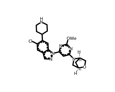 COc1nc(N2C[C@H]3C[C@@H]2CO3)cc(-n2ncc3cc(Cl)c(C4CCNCC4)cc32)n1